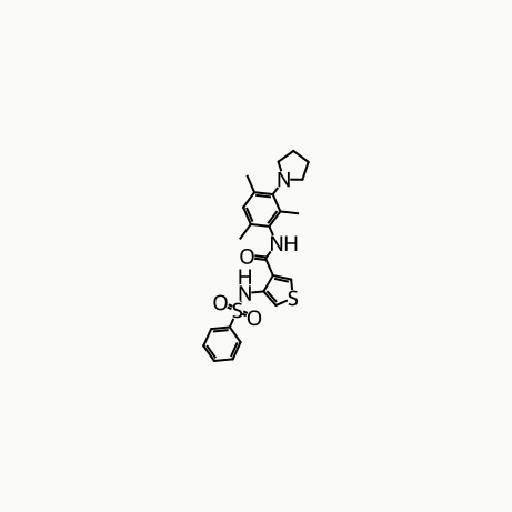 Cc1cc(C)c(N2CCCC2)c(C)c1NC(=O)c1cscc1NS(=O)(=O)c1ccccc1